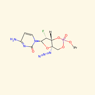 CC(C)OP1(=O)OC[C@@]2(N=[N+]=[N-])O[C@@H](n3ccc(N)nc3=O)[C@H](F)[C@@H]2O1